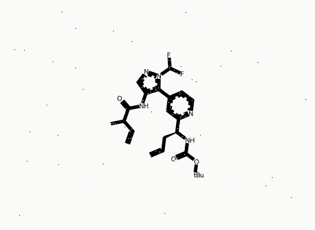 C=CC[C@H](NC(=O)OC(C)(C)C)c1cc(-c2c(NC(=O)C(C)C=C)cnn2C(F)F)ccn1